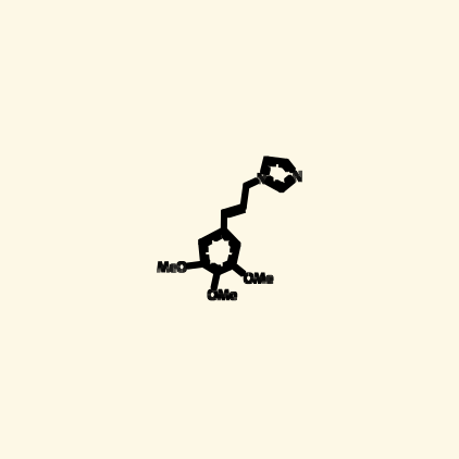 COc1cc(C=CCn2ccnc2)cc(OC)c1OC